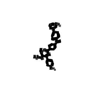 CCN(CC)c1ccc(Nc2ccc(N(C)/N=C(\C(=O)OC)c3cc[n+](C)cc3)cc2)cc1